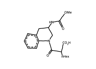 CCCCCCC(C(=O)O)C(=O)N1CC(NC(=O)OC)Cc2ccccc21